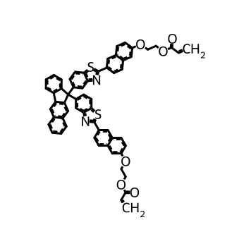 C=CC(=O)OCCOc1ccc2cc(-c3nc4cc(C5(c6ccc7sc(-c8ccc9cc(OCCOC(=O)C=C)ccc9c8)nc7c6)c6ccccc6-c6cc7ccccc7cc65)ccc4s3)ccc2c1